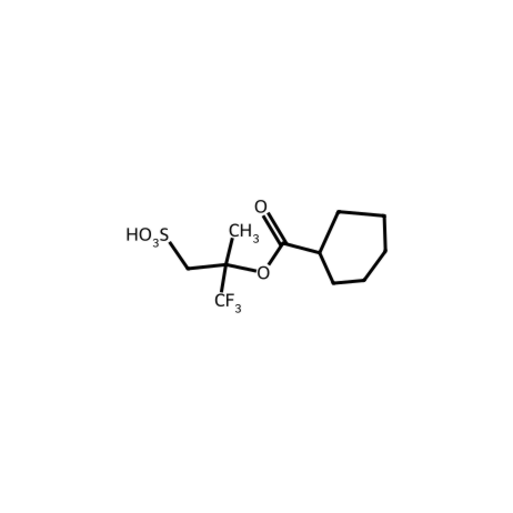 CC(CS(=O)(=O)O)(OC(=O)C1CCCCC1)C(F)(F)F